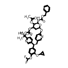 CC(=O)OC1CC(Oc2ccc(C[C@H](c3ccc(C(C)(C)O)nc3)c3ccc(OC(F)F)c(OC4CC4)c3)cn2)OC(NC(=O)OCc2ccccc2)C1OC(C)=O